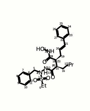 CCS(=O)(=O)N(Cc1ccccc1)NC(=O)[C@H](CC(C)C)[C@H](CC=Cc1ccccc1)C(=O)NO